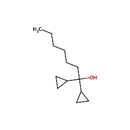 CCCCCCC(O)(C1CC1)C1CC1